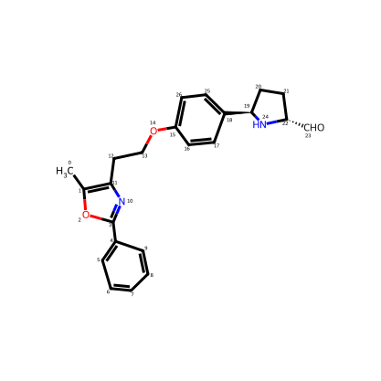 Cc1oc(-c2ccccc2)nc1CCOc1ccc([C@H]2CC[C@H](C=O)N2)cc1